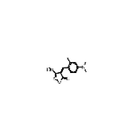 Cc1cc(N(C)C)ccc1C=C1C(=O)ON=C1C(C)(C)C